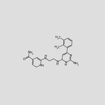 Cc1cccc(C2=CC(NCCNC3=CC(C(N)=O)=CCN3)NC(N)=N2)c1C